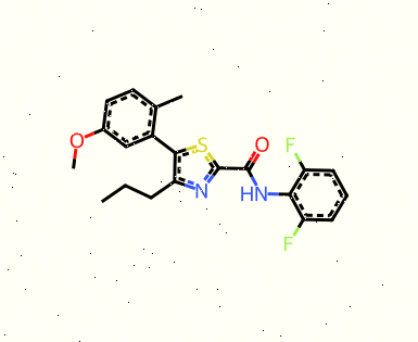 CCCc1nc(C(=O)Nc2c(F)cccc2F)sc1-c1cc(OC)ccc1C